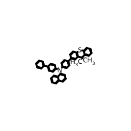 CC1(C)c2ccccc2Sc2ccc(-c3ccc(N(c4ccc(-c5ccccc5)cc4)c4cccc5ccccc45)cc3)cc21